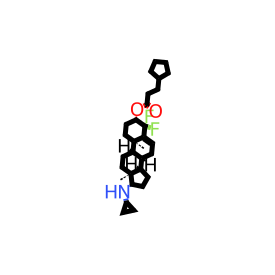 C[C@]12CC[C@H]3[C@@H](CC=C4C(F)(F)[C@@H](OC(=O)CCC5CCCC5)CC[C@@]43C)[C@@H]1CC[C@@H]2NC1CC1